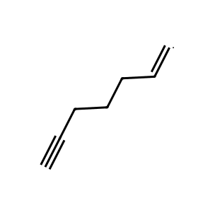 [CH]=CCCCC#C